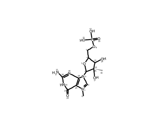 C[n+]1cn(C2OC(COP(=O)(O)O)C(O)[C@@]2(C)O)c2nc(N)[nH]c(=O)c21